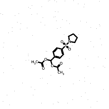 CC(=O)OC(OC(C)=O)c1ccc(S(=O)(=O)N2CCCC2)cc1